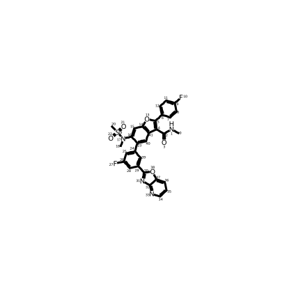 CNC(=O)c1c(-c2ccc(F)cc2)oc2cc(N(C)S(C)(=O)=O)c(-c3cc(F)cc(-c4nc5ncccc5o4)c3)cc12